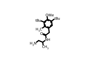 COc1c(C(C)(C)C)cc(CC(=O)NC(C)CN)c(C)c1C(C)(C)C